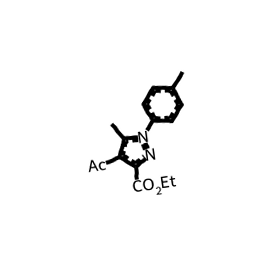 CCOC(=O)c1nn(-c2ccc(C)cc2)c(C)c1C(C)=O